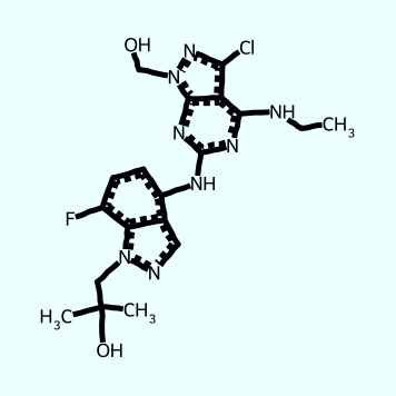 CCNc1nc(Nc2ccc(F)c3c2cnn3CC(C)(C)O)nc2c1c(Cl)nn2CO